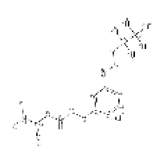 Cl.[2H]C([2H])([2H])C([2H])([2H])CCOc1cccc(CCNCC(=O)N(C)C)c1